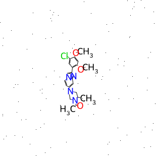 COc1cc(OC)c(-c2cn3ccc(N4CCN(C(C)=O)C(C)C4)cc3n2)cc1Cl